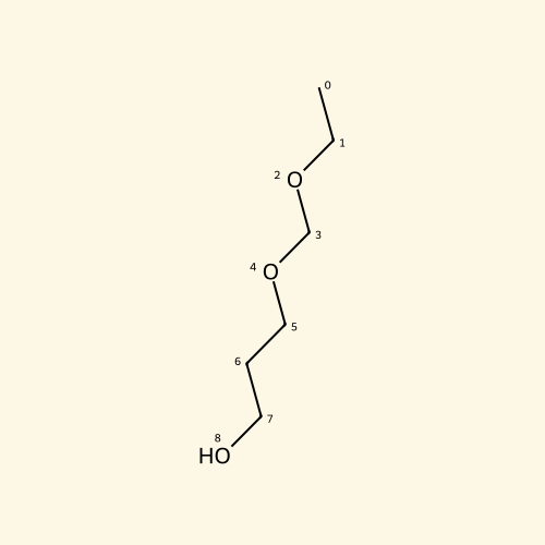 CCOCOCCCO